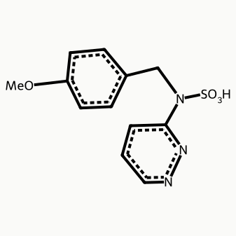 COc1ccc(CN(c2cccnn2)S(=O)(=O)O)cc1